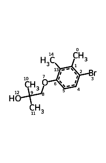 Cc1c(Br)ccc(OCC(C)(C)O)c1C